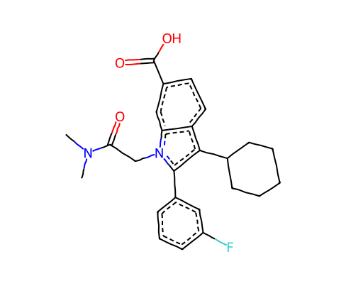 CN(C)C(=O)Cn1c(-c2cccc(F)c2)c(C2CCCCC2)c2ccc(C(=O)O)cc21